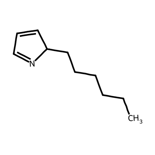 CCCCCC[C]1C=CC=N1